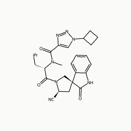 CC(C)C[C@@H](C(=O)N1C[C@]2(C[C@H]1C#N)C(=O)Nc1ccccc12)N(C)C(=O)c1cn(C2CCC2)nn1